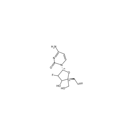 C=CC[C@]1(CO)O[C@@H](n2ccc(N)nc2=O)C(F)C1O